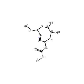 CCNC(=O)OC1/C=C/C(OC(C)(C)C)CC(O)C(O)C1